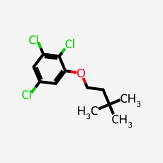 CC(C)(C)CCOc1cc(Cl)cc(Cl)c1Cl